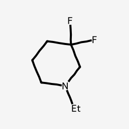 [CH2]CN1CCCC(F)(F)C1